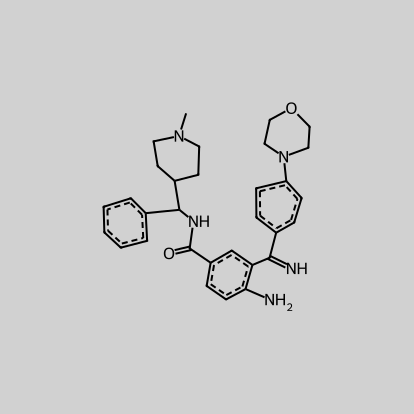 CN1CCC(C(NC(=O)c2ccc(N)c(C(=N)c3ccc(N4CCOCC4)cc3)c2)c2ccccc2)CC1